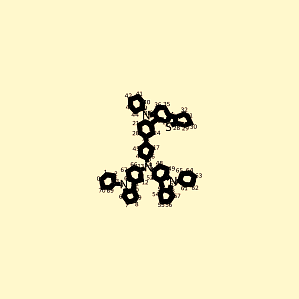 c1ccc(-n2c3ccccc3c3cc(N(c4ccc(-c5ccc6c(c5)c5c7sc8ccccc8c7ccc5n6-c5ccccc5)cc4)c4ccc5c(c4)c4ccccc4n5-c4ccccc4)ccc32)cc1